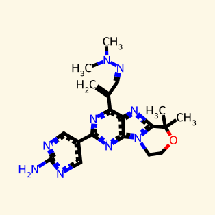 C=C(/C=N\N(C)C)c1nc(-c2cnc(N)nc2)nc2c1nc1n2CCOC1(C)C